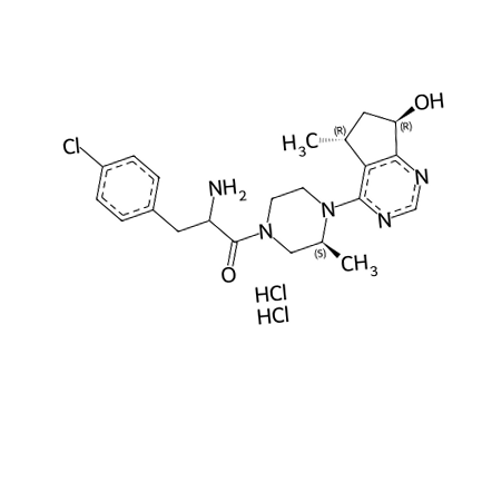 C[C@@H]1C[C@@H](O)c2ncnc(N3CCN(C(=O)C(N)Cc4ccc(Cl)cc4)C[C@@H]3C)c21.Cl.Cl